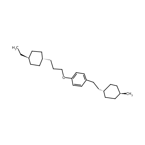 CC[C@H]1CC[C@H](CCCOc2ccc(CC[C@H]3CC[C@H](C)CC3)cc2)CC1